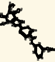 CCCn1c(=O)c2[nH]c(-c3ccc(NCc4cccc(OC)c4)nc3)nc2n(CCC)c1=O